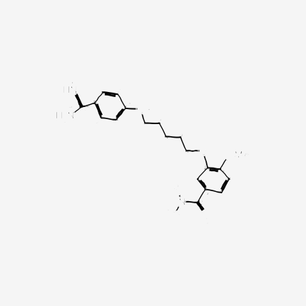 COc1ccc(C(=O)N(C(C)C)C(C)C)cc1OCCCCCOc1ccc(C(=N)N)cc1